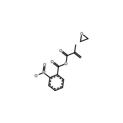 C1CO1.C=C(C)C(=O)OC(=O)c1ccccc1[N+](=O)[O-]